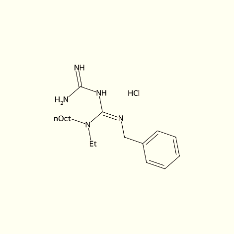 CCCCCCCCN(CC)C(=NCc1ccccc1)NC(=N)N.Cl